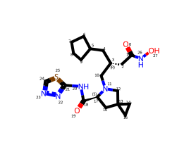 O=C(C[C@@H](CC1CCCC1)CN1CC2(CC2)C[C@H]1C(=O)Nc1nncs1)NO